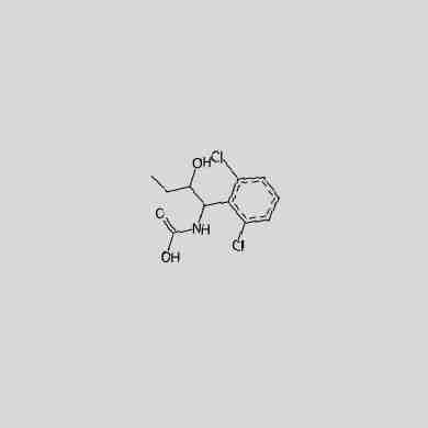 CCC(O)C(NC(=O)O)c1c(Cl)cccc1Cl